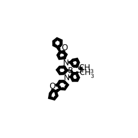 C[Si]1(C)c2cccc3c2B2c4c(cccc4N(c4ccc5c(c4)oc4ccccc45)c4cccc1c42)N3c1ccc2c(c1)oc1ccccc12